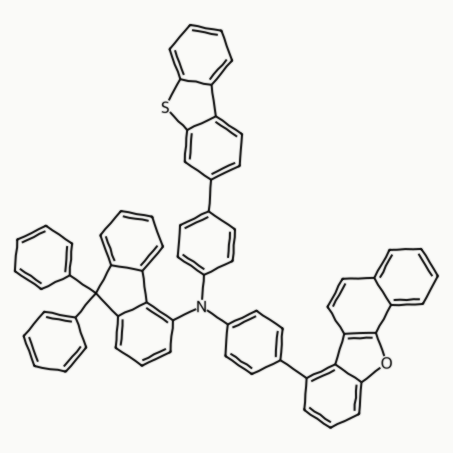 c1ccc(C2(c3ccccc3)c3ccccc3-c3c(N(c4ccc(-c5ccc6c(c5)sc5ccccc56)cc4)c4ccc(-c5cccc6oc7c8ccccc8ccc7c56)cc4)cccc32)cc1